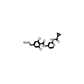 CNCc1cc(Cl)c(C(=O)Nc2ccnc(NC(=O)C3CC3)c2)c(Cl)c1